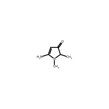 CC1C(=O)C=C(N)N1C